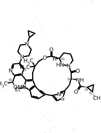 CCn1c(-c2cc(N3CCN(C4CC4)CC3)cnc2[C@H](C)OC)c2c3cc(ccc31)-c1csc(n1)C[C@H](NC(=O)[C@H]1C[C@@H]1C)C(=O)N1CCC[C@H](N1)C(=O)OCC(C)(C)C2